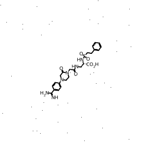 N=C(N)c1ccc(N2CCN(CC(=O)NC[C@H](NS(=O)(=O)CCc3ccccc3)C(=O)O)C(=O)C2)cc1